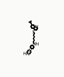 c1cc(SCCCCCCNc2ccc(N3CCNCC3)cc2)c2ccc(C3CC3)cc2n1